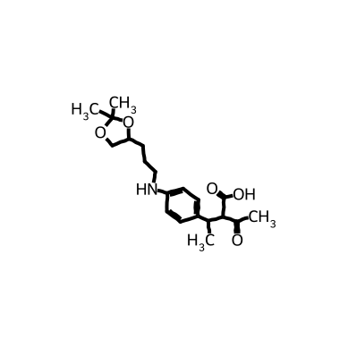 CC(=O)C(C(=O)O)C(C)c1ccc(NCCCC2COC(C)(C)O2)cc1